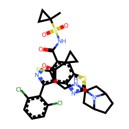 CC1(S(=O)(=O)NC(=O)c2cc3sc(N4C5CCC4CC(NCc4c(-c6c(Cl)cccc6Cl)noc4C4CC4)C5)nc3cc2F)CC1